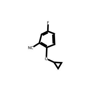 N#Cc1cc(F)[c]cc1OC1CC1